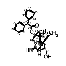 C=C1NC2[C@H](CO)NC(=N)N3C[C@@]4(OC(=O)C(c5ccccc5)c5ccccc5)C[C@]4(C)C23N1O